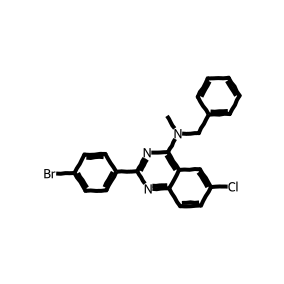 CN(Cc1ccccc1)c1nc(-c2ccc(Br)cc2)nc2ccc(Cl)cc12